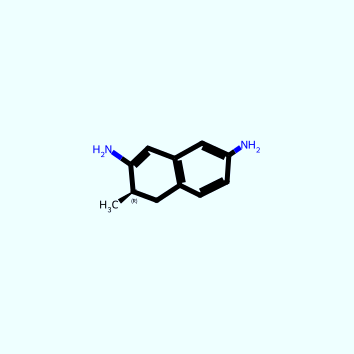 C[C@@H]1Cc2ccc(N)cc2C=C1N